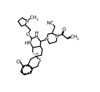 C=CC(=O)N1CCN(C2NC(OCC3CCCN3C)NC3C[C@@]4(CCC32)Cc2c(Cl)cccc2CS4)CC1CC#N